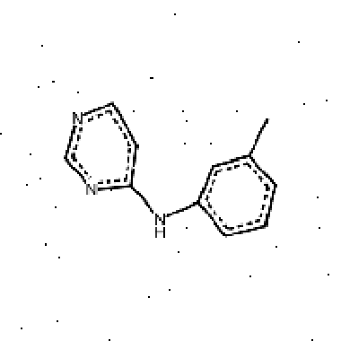 Cc1cccc(Nc2ccncn2)c1